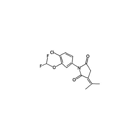 CC(C)=C1CC(=O)N(c2ccc(Cl)c(OC(F)F)c2)C1=O